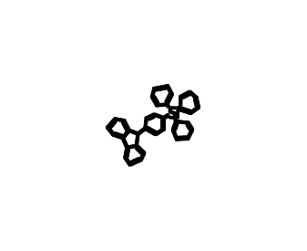 c1ccc([Si](c2ccccc2)(c2ccccc2)c2ccc(C3c4ccccc4-c4ccccc43)cc2)cc1